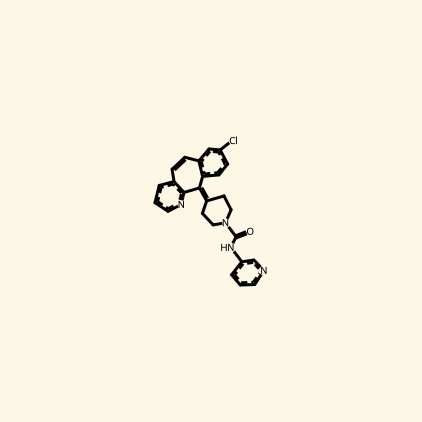 O=C(Nc1cccnc1)N1CCC(=C2c3ccc(Cl)cc3C=Cc3cccnc32)CC1